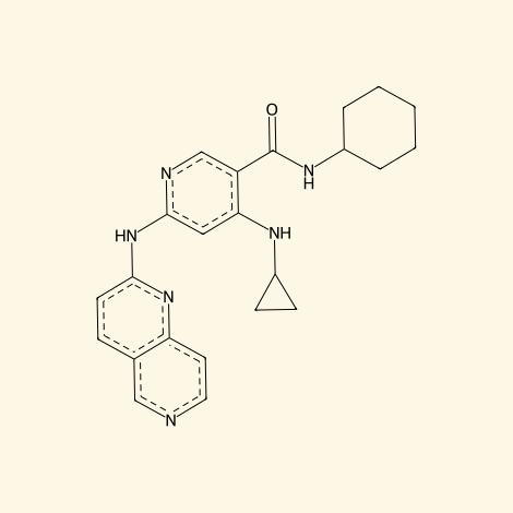 O=C(NC1CCCCC1)c1cnc(Nc2ccc3cnccc3n2)cc1NC1CC1